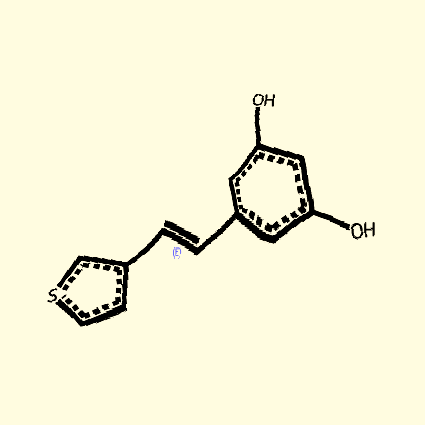 Oc1cc(O)cc(/C=C/c2ccsc2)c1